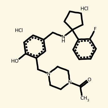 CC(=O)N1CCN(Cc2cc(CNC3(c4ccccc4F)CCCC3)ccc2O)CC1.Cl.Cl